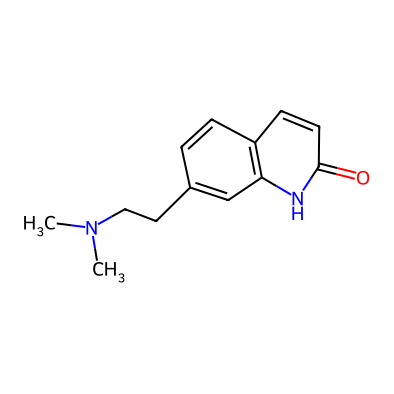 CN(C)CCc1ccc2ccc(=O)[nH]c2c1